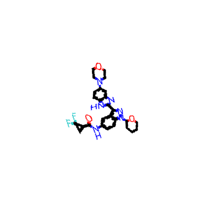 O=C(Nc1ccc2c(c1)c(-c1nc3cc(N4CCOCC4)ccc3[nH]1)nn2C1CCCCO1)C1CC1(F)F